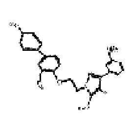 CCOc1c(F)c(-c2cccc(OC)c2)nn1CCOc1ccc(-c2ccc(SC)cc2)cc1Cl